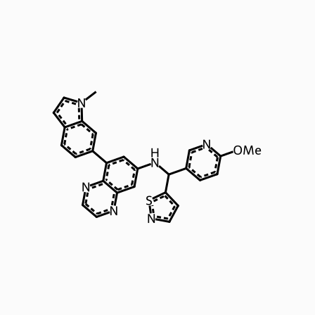 COc1ccc(C(Nc2cc(-c3ccc4ccn(C)c4c3)c3nccnc3c2)c2ccns2)cn1